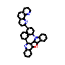 c1ccc(-c2nc3ccccc3c3oc4c5ccccc5n(-c5ccc(-c6ccc7ccc8cccnc8c7n6)cc5)c4c23)cc1